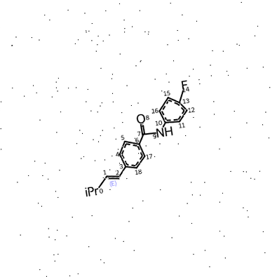 CC(C)/C=C/c1ccc(C(=O)Nc2ccc(F)cc2)cc1